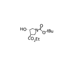 CCOC(=O)[C@@H]1CN(C(=O)OC(C)(C)C)C[C@H]1O